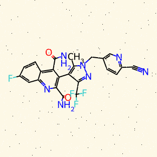 Cc1c(-c2c(C(N)=O)nc3cc(F)ccc3c2C(N)=O)c(C(F)(F)F)nn1Cc1ccc(C#N)nc1